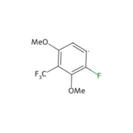 COc1c[c]c(F)c(OC)c1C(F)(F)F